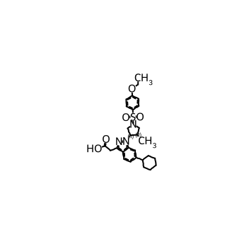 CCOc1ccc(S(=O)(=O)N2C[C@@H](C)[C@@H](n3nc(CC(=O)O)c4ccc(C5CCCCC5)cc43)C2)cc1